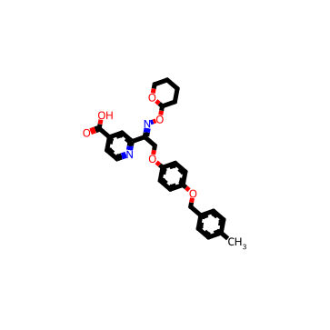 Cc1ccc(COc2ccc(OC/C(=N\OC3CCCCO3)c3cc(C(=O)O)ccn3)cc2)cc1